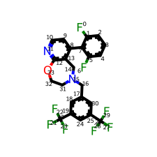 Fc1cccc(F)c1-c1ccnc2c1CN(Cc1cc(C(F)(F)F)cc(C(F)(F)F)c1)CCO2